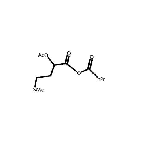 CCCC(=O)OC(=O)C(CCSC)OC(C)=O